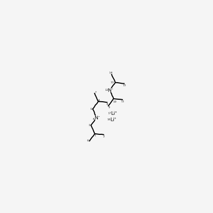 CC(C)C[N-]CC(C)C.CC(C)[N-]C(C)C.[Li+].[Li+]